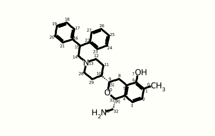 Cc1ccc2c(c1O)C[C@@H](C1CCN(CC(c3ccccc3)c3ccccc3)CC1)O[C@H]2CN